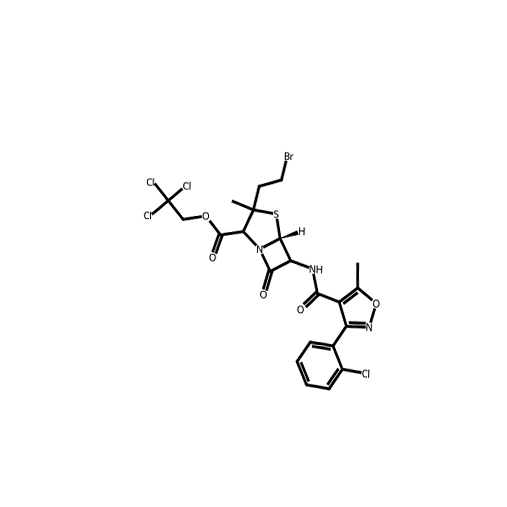 Cc1onc(-c2ccccc2Cl)c1C(=O)NC1C(=O)N2C(C(=O)OCC(Cl)(Cl)Cl)C(C)(CCBr)S[C@H]12